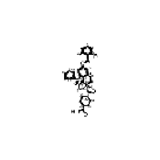 Cc1cccc(F)c1COc1ccc2c(c1)CC[C@H]1N(C(=O)[C@H]3CC[C@H](C(=O)O)CC3)CC[C@@]21S(=O)(=O)c1ccccc1